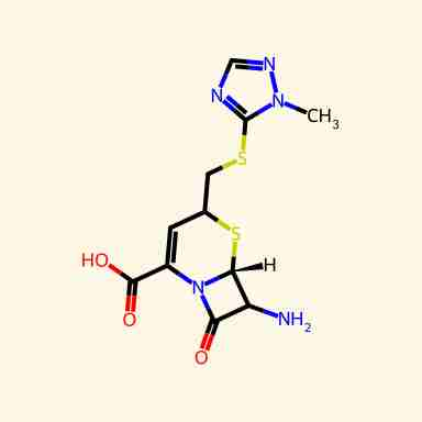 Cn1ncnc1SCC1C=C(C(=O)O)N2C(=O)C(N)[C@H]2S1